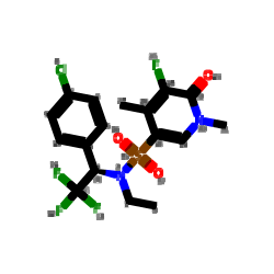 CCN([C@H](c1ccc(Cl)cc1)C(F)(F)F)S(=O)(=O)c1cn(C)c(=O)c(F)c1C